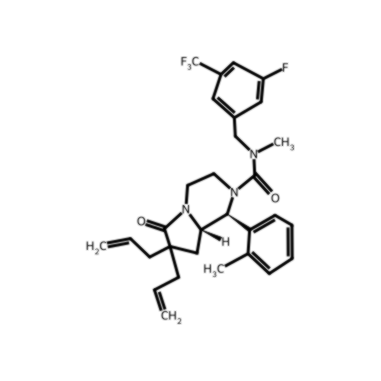 C=CCC1(CC=C)C[C@H]2[C@H](c3ccccc3C)N(C(=O)N(C)Cc3cc(F)cc(C(F)(F)F)c3)CCN2C1=O